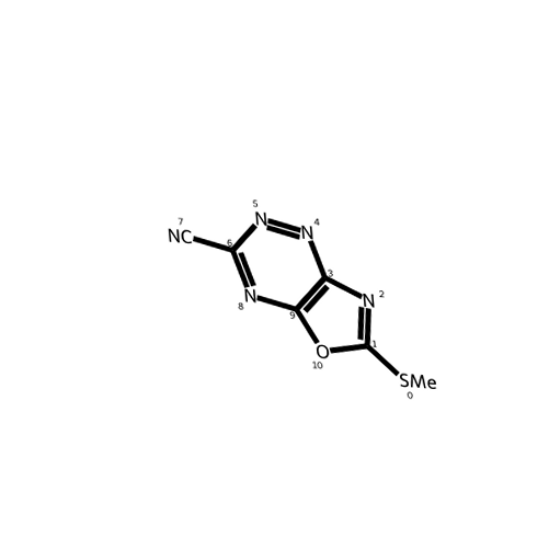 CSc1nc2nnc(C#N)nc2o1